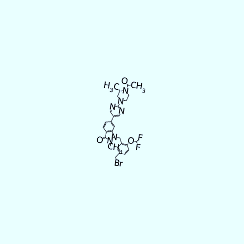 CC(=O)N1CCN(c2ncc(-c3ccc4c(=O)n(C)n(Cc5cc(CBr)ccc5OC(F)F)c4c3)cn2)C[C@H]1C